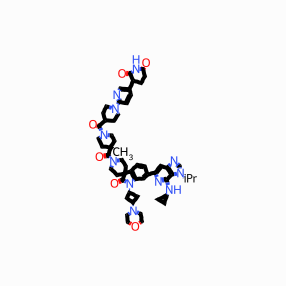 CC(C)n1cnc2cc(-c3ccc4c(c3)N([C@H]3C[C@@H](N5CCOCC5)C3)C(=O)C43CCN(C(=O)C4(C)CCN(C(=O)C5CCN(c6ccc(C7CCC(=O)NC7=O)cn6)CC5)CC4)CC3)nc(NC3CC3)c21